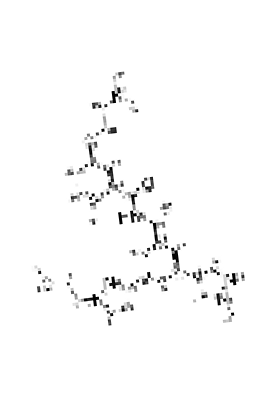 COCCn1ccc(-c2cc(-c3cnn(C)c3)cc([C@@H](C)NC(=O)c3cc(OCCN(C)C)ccc3C)c2)n1